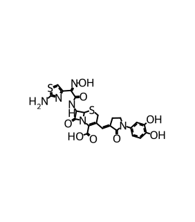 Nc1nc(/C(=N/O)C(=O)NC2C(=O)N3C(C(=O)O)=C(C=C4CCN(c5ccc(O)c(O)c5)C4=O)CSC23)cs1